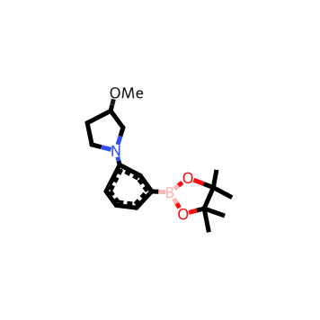 COC1CCN(c2cccc(B3OC(C)(C)C(C)(C)O3)c2)C1